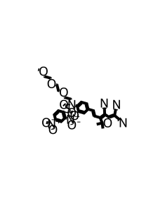 COCCOCCOCCN(c1ccc(/C=C/C2=C(C#N)C(=C(C#N)C#N)OC2(C)C)cc1)S(=O)(=O)c1ccc([N+](=O)[O-])cc1[N+](=O)[O-]